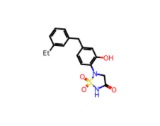 CCc1cccc(Cc2ccc(N3CC(=O)NS3(=O)=O)c(O)c2)c1